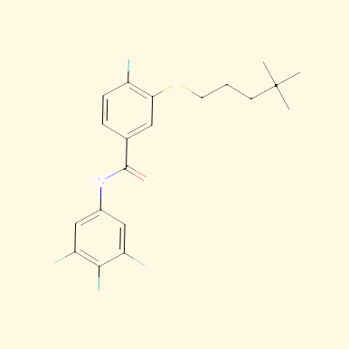 CC(C)(C)CCCSc1cc(C(=O)Nc2cc(F)c(F)c(F)c2)ccc1F